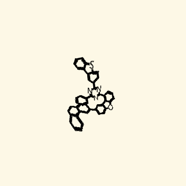 C1=c2ccc3ccccc3c2=CC(c2ccc3oc4cccc(-c5nc(-c6ccccc6)nc(-c6ccc7sc8ccccc8c7c6)n5)c4c3c2)C1